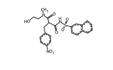 CN(CCO)C(=O)C(Cc1ccc([N+](=O)[O-])cc1)C(=O)NS(=O)(=O)c1ccc2ccccc2c1